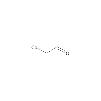 O=C[CH2][Co]